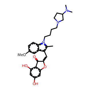 COc1ccc2c(c1)c(C=C1Oc3cc(O)cc(O)c3C1=O)c(C)n2CCCCN1CCC(N(C)C)C1